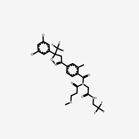 COCCC(=O)N(CC(=O)NCC(F)(F)F)C(=O)c1ccc(C2=NOC(c3cc(Cl)cc(Cl)c3)(C(F)(F)F)C2)cc1C